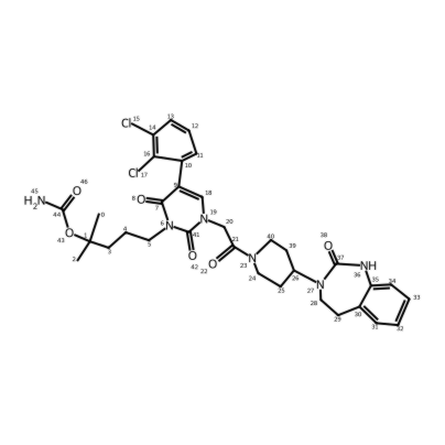 CC(C)(CCCn1c(=O)c(-c2cccc(Cl)c2Cl)cn(CC(=O)N2CCC(N3CCc4ccccc4NC3=O)CC2)c1=O)OC(N)=O